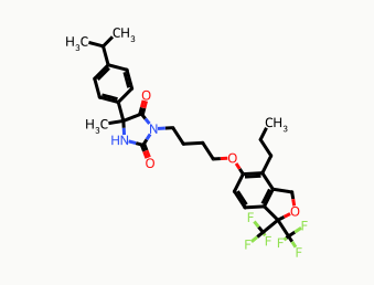 CCCc1c(OCCCCN2C(=O)NC(C)(c3ccc(C(C)C)cc3)C2=O)ccc2c1COC2(C(F)(F)F)C(F)(F)F